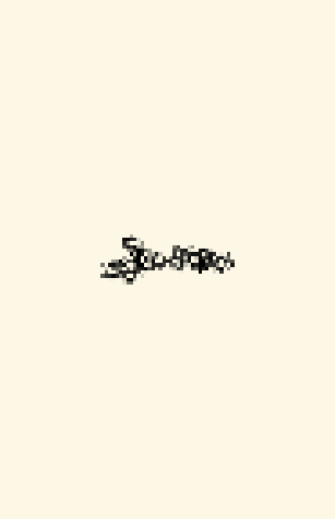 CC1(C)c2cc(-c3ccc(-c4nc(-c5ccccc5)nc(-c5cccc6c5sc5ccccc56)n4)cc3)ccc2-c2cc3nc(-c4ccccc4)oc3cc21